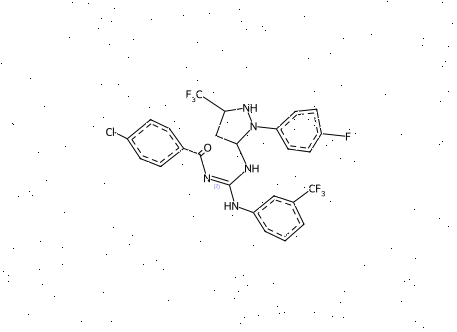 O=C(/N=C(/Nc1cccc(C(F)(F)F)c1)NC1CC(C(F)(F)F)NN1c1ccc(F)cc1)c1ccc(Cl)cc1